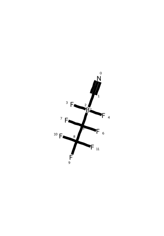 N#C[B-](F)(F)C(F)(F)C(F)(F)F